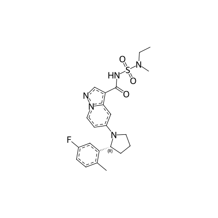 CCN(C)S(=O)(=O)NC(=O)c1cnn2ccc(N3CCC[C@@H]3c3cc(F)ccc3C)cc12